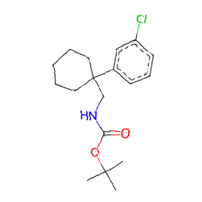 CC(C)(C)OC(=O)NCC1(c2cccc(Cl)c2)CCCCC1